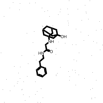 O=C(CNC12CC3CC(CC(O)(C3)C1)C2)NCCc1ccccc1